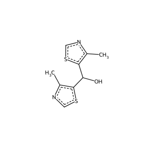 Cc1ncsc1C(O)c1scnc1C